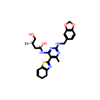 CC[C@H](CO)C[C@@H](O)Nc1nc(NCc2ccc3c(c2)OCO3)nc(C)c1-c1nc2c(s1)C=CCC2